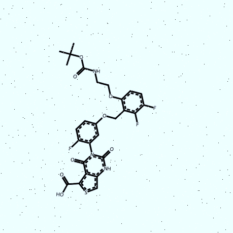 CC(C)(C)OC(=O)NCCOc1ccc(F)c(F)c1COc1ccc(F)c(-n2c(=O)[nH]c3csc(C(=O)O)c3c2=O)c1